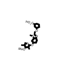 COc1c(C)cnc(Oc2ccc3nc(COc4cccc(C(=O)O)c4)n(C)c3c2)c1C